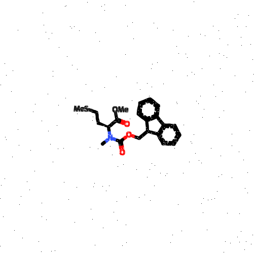 COC(=O)[C@H](CCSC)N(C)C(=O)OCC1c2ccccc2-c2ccccc21